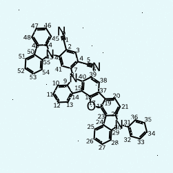 N#Cc1cc(C#N)c(-n2c3ccccc3c3c4oc5c(ccc6c5c5ccccc5n6-c5ccccc5)c4ccc32)cc1-n1c2ccccc2c2ccccc21